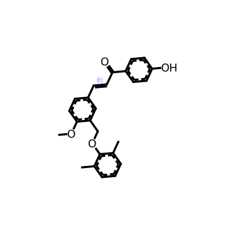 COc1ccc(/C=C/C(=O)c2ccc(O)cc2)cc1COc1c(C)cccc1C